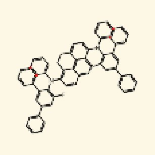 Fc1cc(-c2ccccc2)cc(-c2ccccc2)c1N(c1ccccc1)c1ccc2ccc3c(N(c4ccccc4)c4c(F)cc(-c5ccccc5)cc4-c4ccccc4)ccc4c3c2c1CC4